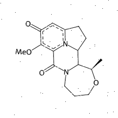 COc1c2n3c(cc1=O)CCC3C1[C@@H](C)OCCCN1C2=O